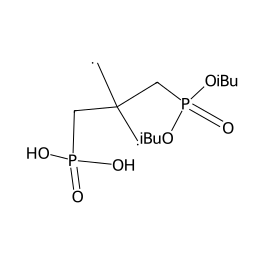 [CH2]C([CH2])(CP(=O)(O)O)CP(=O)(OCC(C)C)OCC(C)C